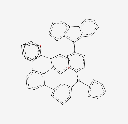 c1ccc(-c2ccccc2-c2c(-c3ccccc3)cccc2-c2cccc(N(c3ccccc3)c3ccc(-n4c5ccccc5c5ccccc54)cc3)c2)cc1